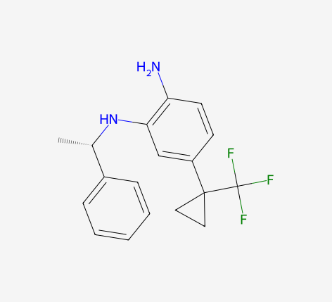 C[C@H](Nc1cc(C2(C(F)(F)F)CC2)ccc1N)c1ccccc1